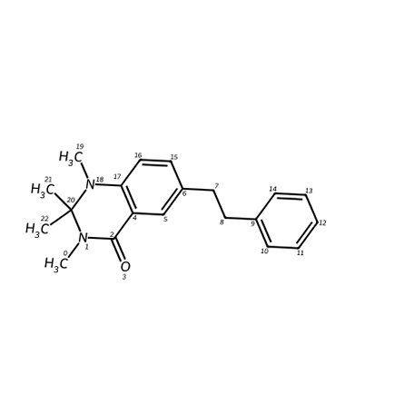 CN1C(=O)c2cc(CCc3ccccc3)ccc2N(C)C1(C)C